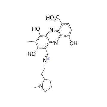 Cc1c(O)c(/C=N/CCC2CCCN2C)c2nc3c(O)ccc(C(=O)O)c3nc2c1O